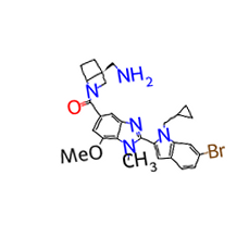 COc1cc(C(=O)N2C[C@@]3(CN)CCC23)cc2nc(-c3cc4ccc(Br)cc4n3CC3CC3)n(C)c12